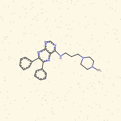 CN1CCN(CCCNc2ncnc3nc(-c4ccccc4)c(-c4ccccc4)nc23)CC1